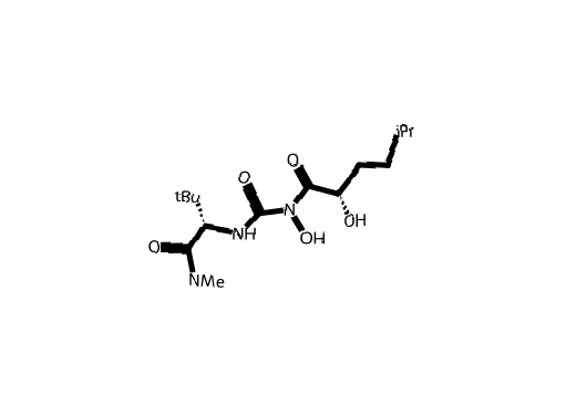 CNC(=O)[C@@H](NC(=O)N(O)C(=O)[C@@H](O)CCC(C)C)C(C)(C)C